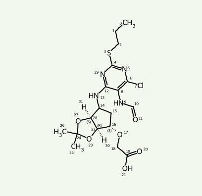 CCCSc1nc(Cl)c(NC=O)c(NC2C[C@H](OCC(=O)O)[C@H]3OC(C)(C)O[C@@H]23)n1